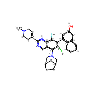 CN1CC=C(c2ncc3c(N4CC5CCC(C5)C4)c(Cl)c(-c4cc(O)cc5ccccc45)c(F)c3n2)CC1